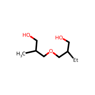 CCC(CO)COCC(C)CO